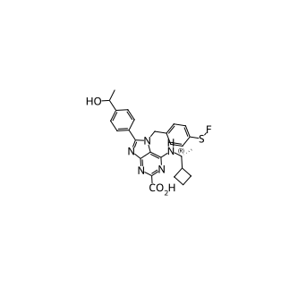 CC(O)c1ccc(-c2nc3nc(C(=O)O)nc(N[C@H](C)C4CCC4)c3n2Cc2ccc(SF)cc2)cc1